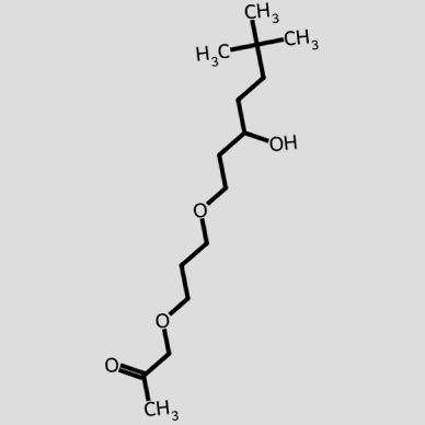 CC(=O)COCCCOCCC(O)CCC(C)(C)C